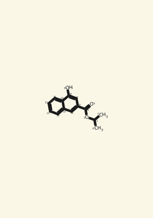 CC(C)OC(=O)c1cc(O)c2ccccc2c1